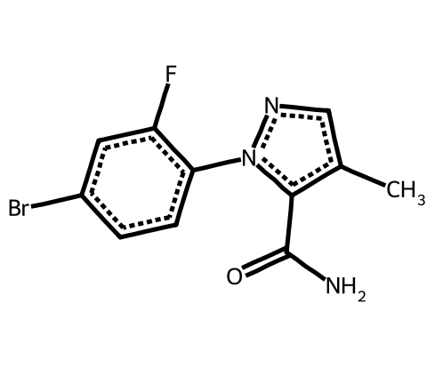 Cc1cnn(-c2ccc(Br)cc2F)c1C(N)=O